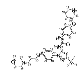 CC(C)(C)c1cc(NC(=O)Nc2ccc(Oc3cccnc3)cc2)n(-c2ccc(OCCCN3CCOCC3)cc2)n1